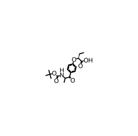 CC[C@H](Oc1ccc(C(=O)C(C)NC(=O)OC(C)(C)C)cc1)C(=O)O